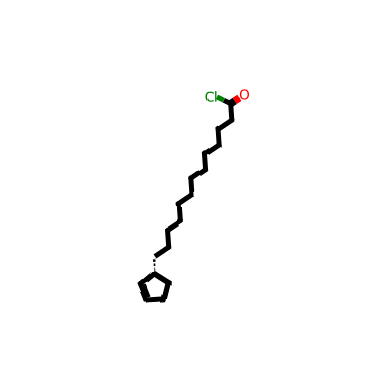 O=C(Cl)CCCCCCCCCCCC[C@H]1C=CCC1